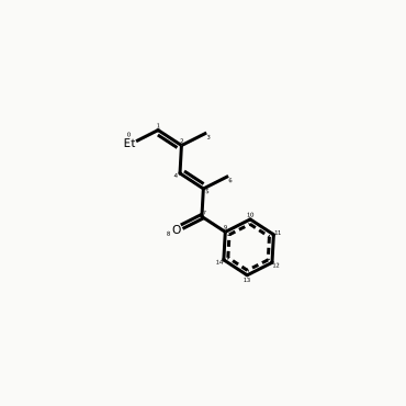 CC/C=C(C)\C=C(/C)C(=O)c1ccccc1